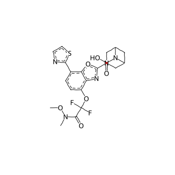 CON(C)C(=O)C(F)(F)Oc1ccc(-c2nccs2)c2oc(N3CC4CC(C3)N4C(=O)O)nc12